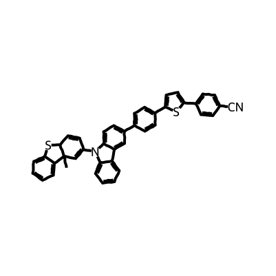 CC12C=C(n3c4ccccc4c4cc(-c5ccc(-c6ccc(-c7ccc(C#N)cc7)s6)cc5)ccc43)C=CC1Sc1ccccc12